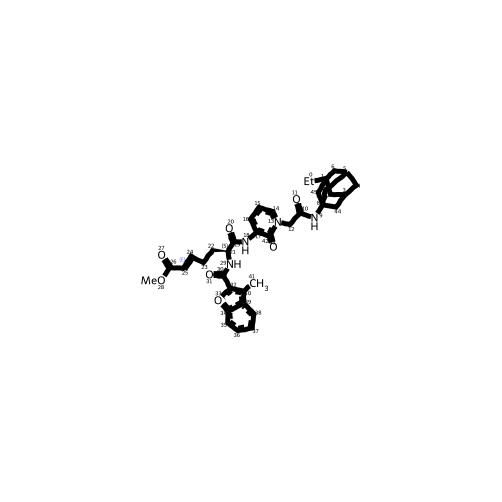 CCC12CC3CC(C1)CC(NC(=O)Cn1cccc(NC(=O)[C@H](CC/C=C/C(=O)OC)NC(=O)c4oc5ccccc5c4C)c1=O)(C3)C2